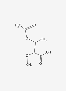 COC(C(=O)O)C(C)OC(C)=O